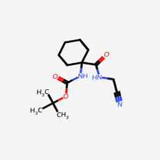 CC(C)(C)OC(=O)NC1(C(=O)NCC#N)CCCCC1